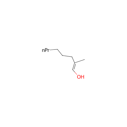 CCCCCCC(C)=CO